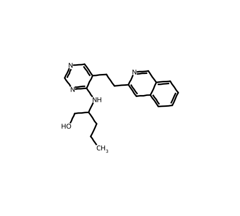 CCCC(CO)Nc1ncncc1CCc1cc2ccccc2cn1